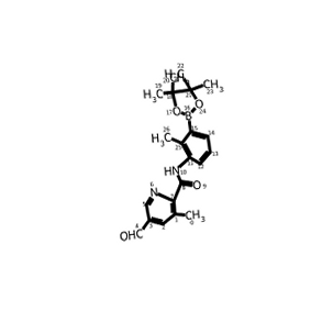 Cc1cc(C=O)cnc1C(=O)Nc1cccc(B2OC(C)(C)C(C)(C)O2)c1C